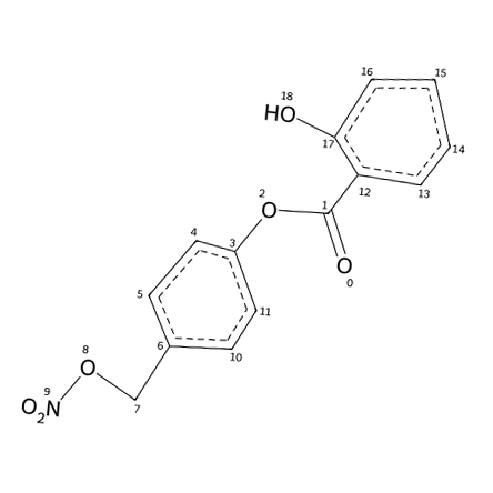 O=C(Oc1ccc(CO[N+](=O)[O-])cc1)c1ccccc1O